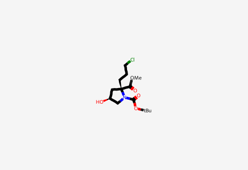 COC(=O)[C@@]1(CCCCl)C[C@H](O)CN1C(=O)OC(C)(C)C